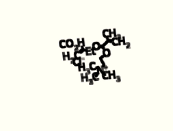 C=C(C)C(=O)OCC[N+](C)(C)C.C=C(CC)C(=O)O.[Cl-]